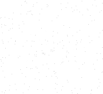 c1ccc([Si](c2ccccc2)(c2ccccc2)c2cc(-n3c4ccccc4c4ccccc43)nc(-n3c4ccccc4c4c(-n5c6ccccc6c6ccccc65)cccc43)c2)cc1